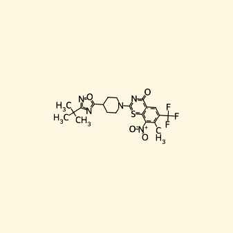 Cc1c(C(F)(F)F)cc2c(=O)nc(N3CCC(c4nc(C(C)(C)C)no4)CC3)sc2c1[N+](=O)[O-]